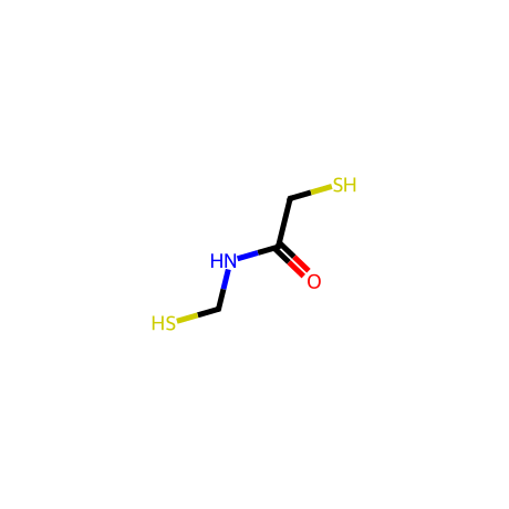 O=C(CS)NCS